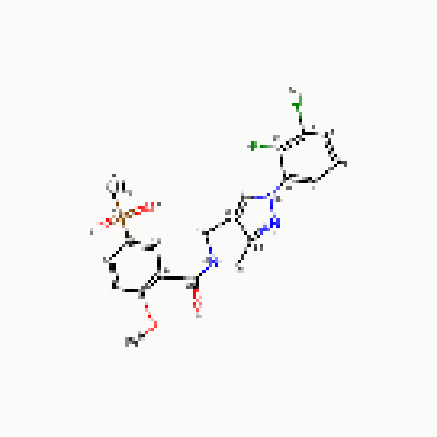 CC(C)Oc1ccc(S(C)(=O)=O)cc1C(=O)N1Cc2cn(-c3cccc(Cl)c3F)nc2C1